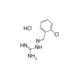 Cl.N=C(N)NN=Cc1ccccc1Cl